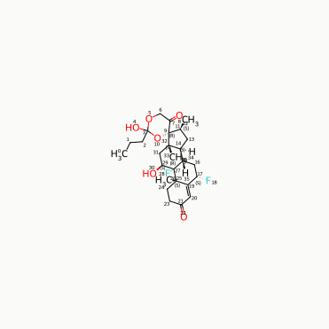 CCCC1(O)OCC(=O)[C@@]2(O1)[C@@H](C)C[C@H]1[C@@H]3C[C@H](F)C4=CC(=O)CC[C@]4(C)[C@@]3(F)[C@@H](O)C[C@@]12C